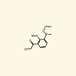 CCCCCCO[C@@H](C)c1cccc(C(=O)CCl)c1OC